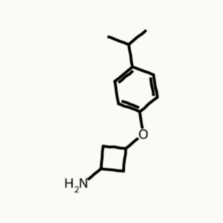 CC(C)c1ccc(OC2CC(N)C2)cc1